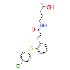 CC(O)CCCNC(=O)C=Cc1ccccc1Sc1ccc(Cl)cc1